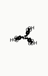 O=S(=O)(O)c1ccc(CCP(CCc2ccc(S(=O)(=O)O)cc2)CCc2ccc(S(=O)(=O)O)cc2)cc1